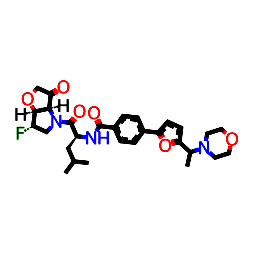 CC(C)C[C@H](NC(=O)c1ccc(-c2ccc(C(C)N3CCOCC3)o2)cc1)C(=O)N1C[C@H](F)[C@H]2OCC(=O)[C@H]21